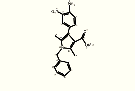 COC(=O)c1c(-c2ccc(N)c([N+](=O)[O-])c2)c(C)n(Cc2ccccc2)c1C